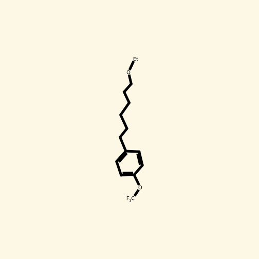 [CH2]COCCCCCCc1ccc(OC(F)(F)F)cc1